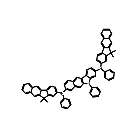 CC1(C)c2cc(N(c3ccccc3)c3ccc4cc5c6ccc(N(c7ccccc7)c7ccc8c(c7)C(C)(C)c7cc9ccccc9cc7-8)cc6n(-c6ccccc6)c5cc4c3)ccc2-c2cc3ccccc3cc21